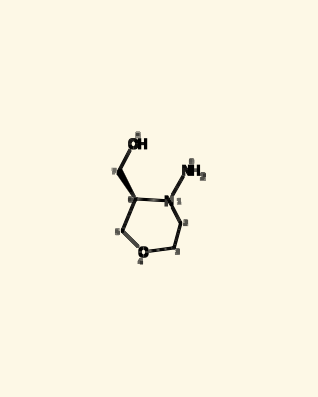 NN1CCOC[C@H]1CO